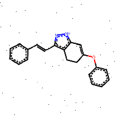 C(=Cc1n[nH]c2c1CCC(Oc1ccccc1)=C2)c1ccccc1